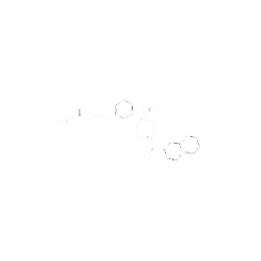 O=C(O)CCCc1cccc(C2(O)CCN(C(=O)c3ccc4ccccc4c3)CC2)c1